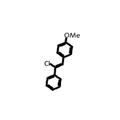 COc1ccc(C=C(Cl)c2ccccc2)cc1